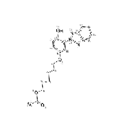 CC(=O)C(=O)OCCCCCCOc1ccc(O)c(-n2nc3ccccc3n2)c1